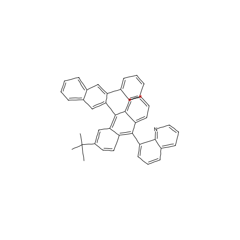 CC(C)(C)c1ccc2c(-c3cccc4cccnc34)c3ccccc3c(-c3cc4ccccc4cc3-c3ccccc3)c2c1